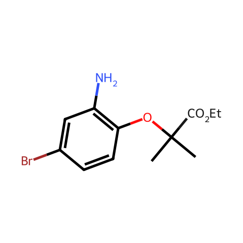 CCOC(=O)C(C)(C)Oc1ccc(Br)cc1N